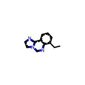 CCc1cccc2c1ncn1ccnc21